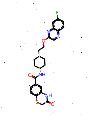 O=C1CSc2ccc(C(=O)N[C@H]3CC[C@H](CCOc4cnc5ccc(F)cc5n4)CC3)cc2N1